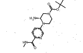 CNC(=O)c1ccc(N2CCN(C(=O)OC(C)(C)C)C[C@@H]2N)cn1